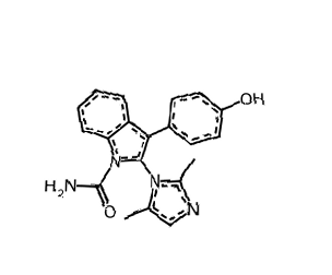 Cc1cnc(C)n1-c1c(-c2ccc(O)cc2)c2ccccc2n1C(N)=O